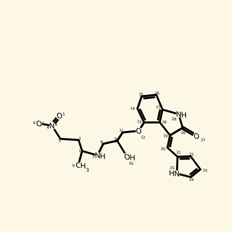 CC(CC[N+](=O)[O-])NCC(O)COc1cccc2c1C(=Cc1ccc[nH]1)C(=O)N2